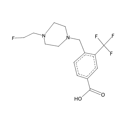 O=C(O)c1ccc(CN2CCN(CCF)CC2)c(C(F)(F)F)c1